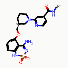 CC(C)NC(=O)c1ccnc(N2CCC[C@H](COc3cccc4c3C(N)=NS(=O)(=O)N4)C2)c1